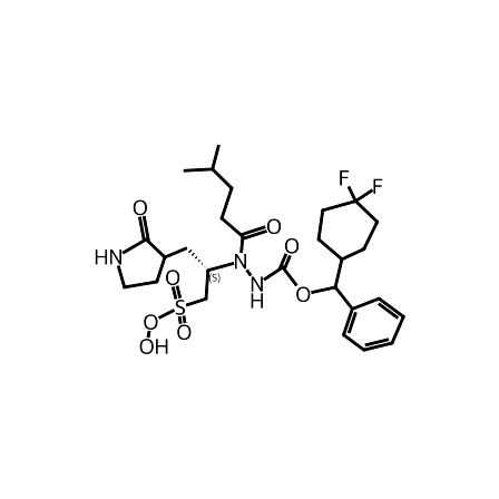 CC(C)CCC(=O)N(NC(=O)OC(c1ccccc1)C1CCC(F)(F)CC1)[C@@H](CC1CCNC1=O)CS(=O)(=O)OO